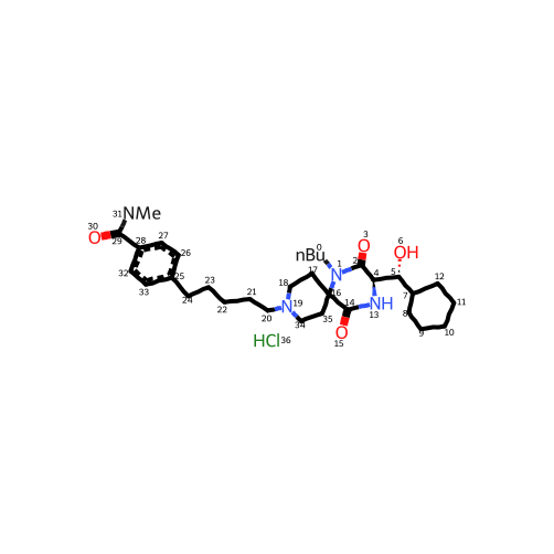 CCCCN1C(=O)[C@@H]([C@H](O)C2CCCCC2)NC(=O)C12CCN(CCCCCc1ccc(C(=O)NC)cc1)CC2.Cl